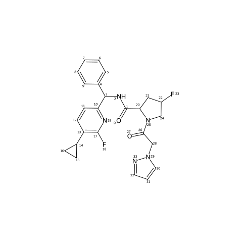 O=C(NC(c1ccccc1)c1ccc(C2CC2)c(F)n1)C1CC(F)CN1C(=O)Cn1cccn1